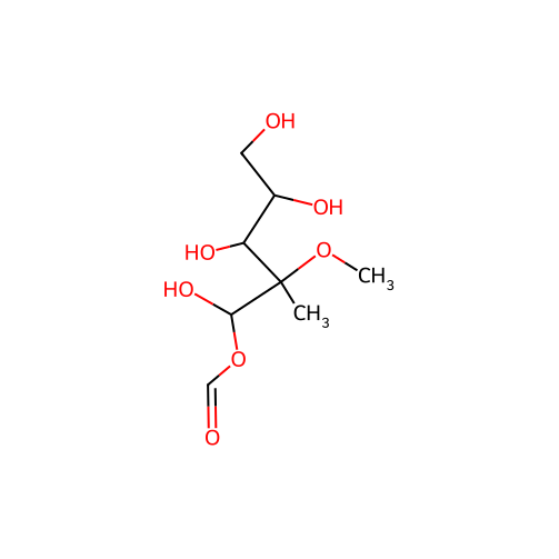 COC(C)(C(O)OC=O)C(O)C(O)CO